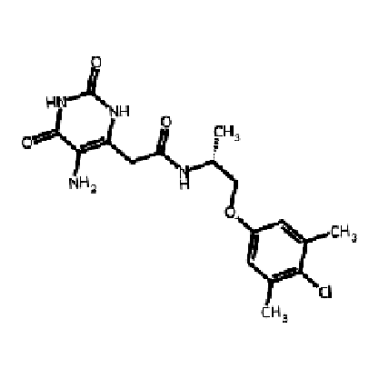 Cc1cc(OC[C@@H](C)NC(=O)Cc2[nH]c(=O)[nH]c(=O)c2N)cc(C)c1Cl